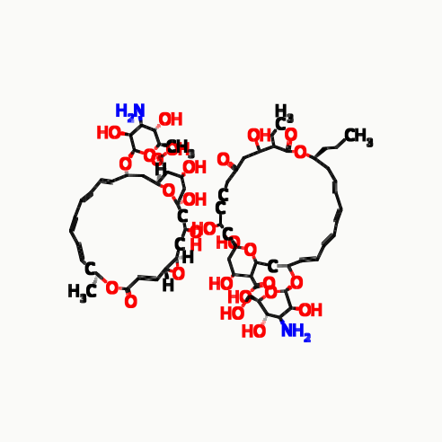 CCC[C@H]1C/C=C/C=C/C=C/C=C/C(O[C@@H]2O[C@H](CO)[C@@H](O)[C@H](N)[C@@H]2O)CC2OC(O)(CC(O)CCCC(=O)CC(O)C(CC)C(=O)O1)CC(O)C2C(=O)O.C[C@@H]1C/C=C/C=C/C=C/C=C/[C@H](O[C@@H]2O[C@H](C)[C@@H](O)[C@H](N)[C@@H]2O)C[C@@H]2O[C@](O)(C[C@@H](O)C[C@H]3O[C@@H]3/C=C/C(=O)O1)C[C@H](O)[C@H]2C(=O)O